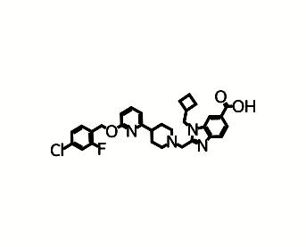 O=C(O)c1ccc2nc(CN3CCC(c4cccc(OCc5ccc(Cl)cc5F)n4)CC3)n(CC3CCC3)c2c1